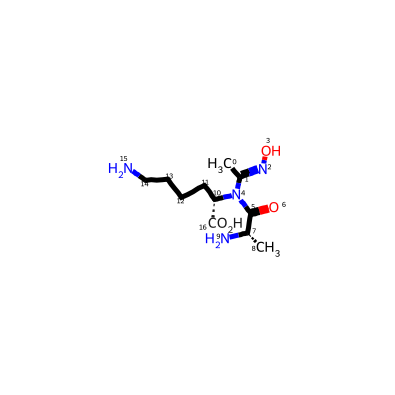 C/C(=N\O)N(C(=O)[C@H](C)N)[C@@H](CCCCN)C(=O)O